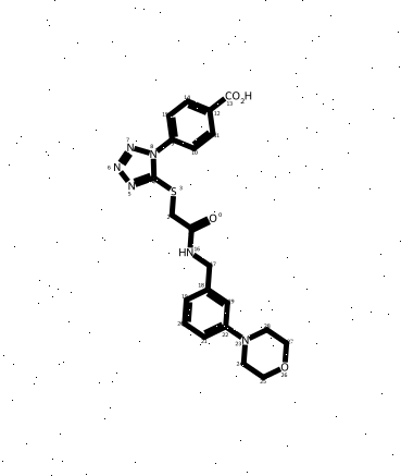 O=C(CSc1nnnn1-c1ccc(C(=O)O)cc1)NCc1cccc(N2CCOCC2)c1